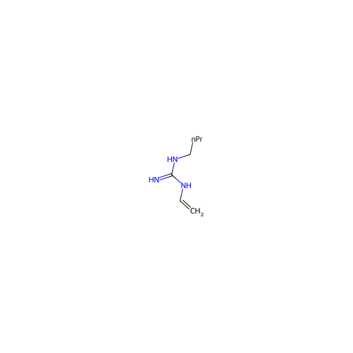 C=CNC(=N)NCCCC